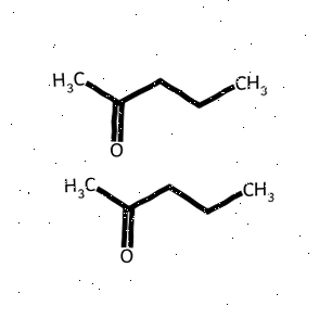 CCCC(C)=O.CCCC(C)=O